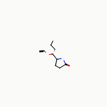 C=CO[C@@H](CCC)C1CCC(=O)N1